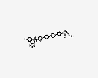 CC(C)(C)Cn1ncn(-c2ccc(N3CCN(c4ccc(-c5ccc(C(F)(F)[C@]6(O)Cn7nnnc7-c7cc(F)ccc76)nc5)cc4)CC3)cc2)c1=O